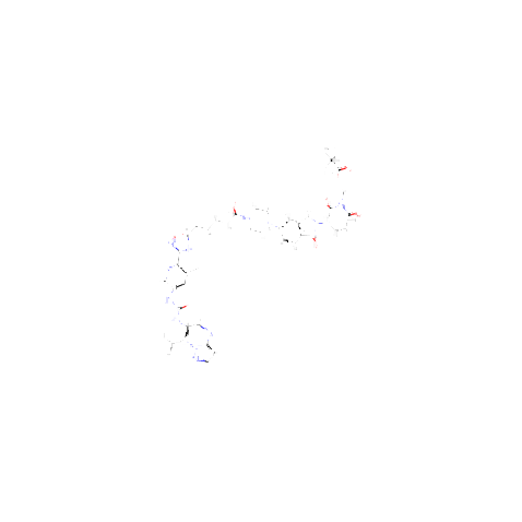 Cc1cc(NC(=O)Nc2cnc3ccnn3c2C(C)C)cnc1-c1noc(CCCCC(=O)N2CCN(c3ccc4c(c3)CN(C3CCC(=O)N(COC(=O)C(C)(C)C)C3=O)C4=O)CC2)n1